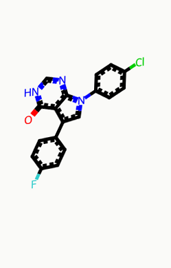 O=c1[nH]cnc2c1c(-c1ccc(F)cc1)cn2-c1ccc(Cl)cc1